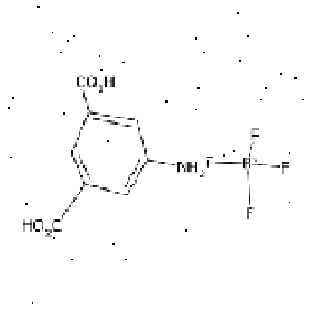 F[B-](F)(F)F.Nc1cc(C(=O)O)cc(C(=O)O)c1